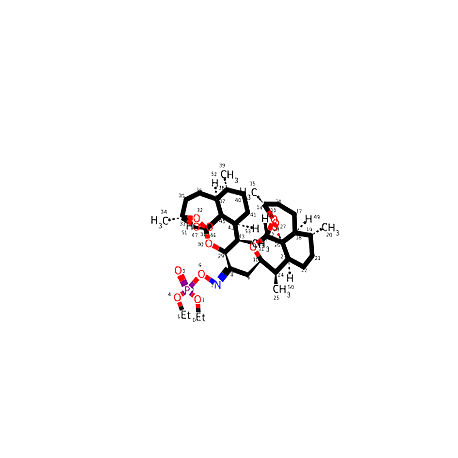 CCOP(=O)(OCC)O/N=C(/C[C@H]1O[C@@H]2O[C@]3(C)CC[C@H]4[C@H](C)CC[C@@H]([C@H]1C)[C@@]24OO3)[C@H]1O[C@@H]2O[C@]3(C)CC[C@H]4[C@H](C)CC[C@@H]([C@H]1C)[C@@]24OO3